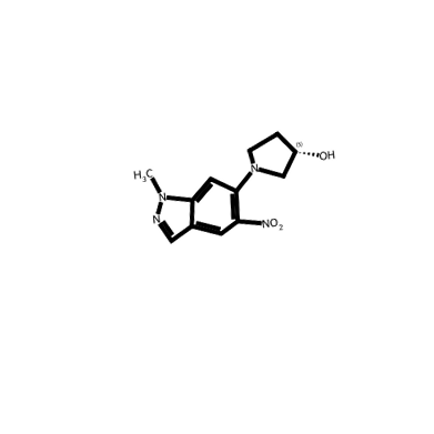 Cn1ncc2cc([N+](=O)[O-])c(N3CC[C@H](O)C3)cc21